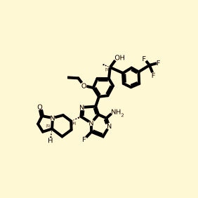 CCOc1cc([C@@](C)(O)c2cccc(C(F)(F)F)c2)ccc1-c1nc([C@@H]2CC[C@H]3CCC(=O)N3C2)n2c(F)cnc(N)c12